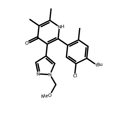 COCn1cc(-c2c(-c3cc(Cl)c(C(C)(C)C)cc3C)[nH]c(C)c(C)c2=O)cn1